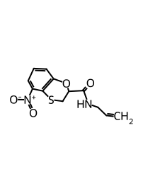 C=CCNC(=O)C1CSc2c(cccc2[N+](=O)[O-])O1